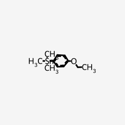 CCOc1cc[c]([Sn]([CH3])([CH3])[CH3])cc1